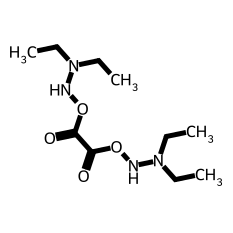 CCN(CC)NOC(=O)C(=O)ONN(CC)CC